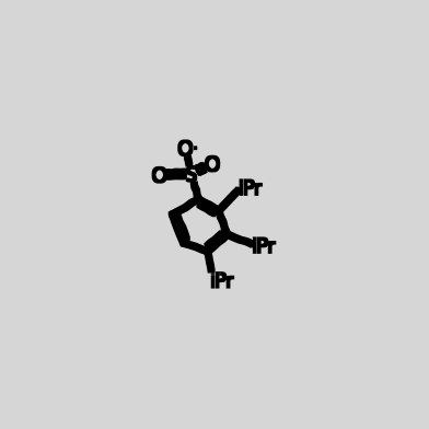 CC(C)c1ccc(S([O])(=O)=O)c(C(C)C)c1C(C)C